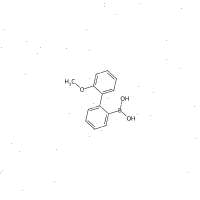 COc1ccccc1-c1ccccc1B(O)O